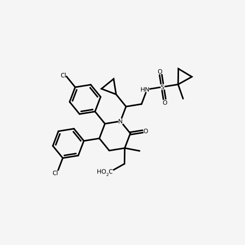 CC1(CC(=O)O)CC(c2cccc(Cl)c2)C(c2ccc(Cl)cc2)N(C(CNS(=O)(=O)C2(C)CC2)C2CC2)C1=O